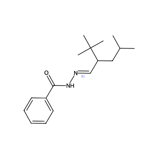 CC(C)CC(/C=N/NC(=O)c1ccccc1)C(C)(C)C